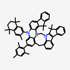 Cc1cc(C)c(-c2cc3c4c(c2)N(c2cc5c(cc2C)C(C)(C)CCC5(C)C)c2ccc5c(c2B4Cn2c4c(c6cccc(c62)C3)-c2ccccc2C4(C)C)C(C)(C)c2ccccc2-5)c(C)c1